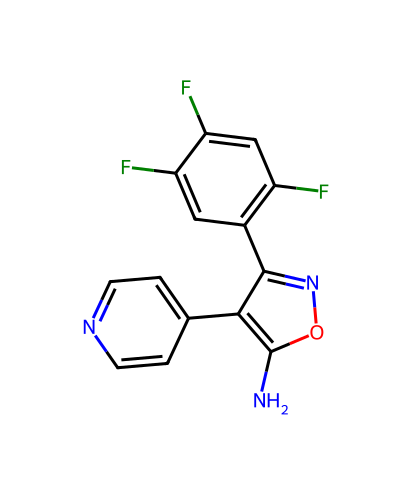 Nc1onc(-c2cc(F)c(F)cc2F)c1-c1ccncc1